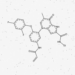 C=CC(=O)Nc1ccc(Oc2ccc(F)cc2F)c(-n2cc(C)c(=O)c3[nH]c(C(=O)NCC)cc32)c1